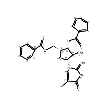 CC(=O)O[C@@H]1[C@@H](OC(=O)c2ccccc2)[C@@H](COC(=O)c2ccccc2)O[C@H]1n1cc(F)c(=O)[nH]c1=O